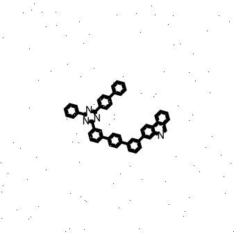 c1ccc(-c2ccc(-c3nc(-c4ccccc4)nc(-c4cccc(-c5ccc(-c6cccc(-c7ccc8c(c7)ncc7ccccc78)c6)cc5)c4)n3)cc2)cc1